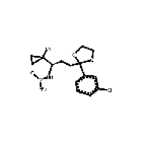 CC(C)(C)[S+]([O-])N[C@H](CCC1(c2cccc(Cl)c2)OCCO1)C1(C#N)CC1